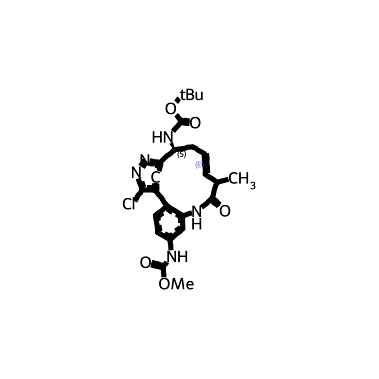 COC(=O)Nc1ccc2c(c1)NC(=O)C(C)/C=C/C[C@H](NC(=O)OC(C)(C)C)c1cc-2c(Cl)nn1